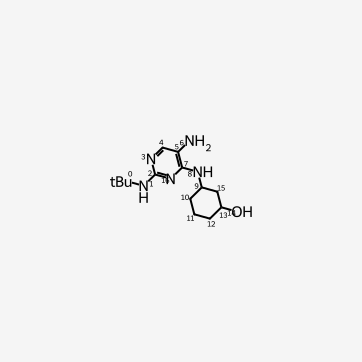 CC(C)(C)Nc1ncc(N)c(NC2CCCC(O)C2)n1